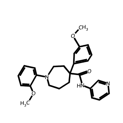 COc1cccc(C2(C(=O)Nc3cccnc3)CCCN(c3ccccc3OC)CC2)c1